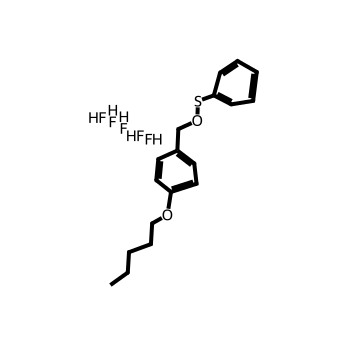 CCCCCOc1ccc(COSc2ccccc2)cc1.F.F.F.F.F